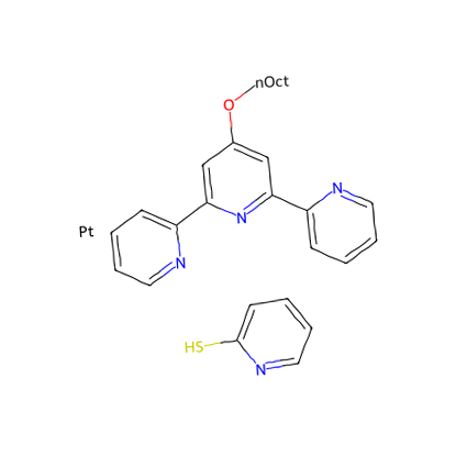 CCCCCCCCOc1cc(-c2ccccn2)nc(-c2ccccn2)c1.Sc1ccccn1.[Pt]